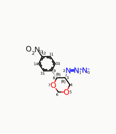 [N-]=[N+]=N[C@@H]1COCO[C@@H]1c1ccc([N+](=O)[O-])cc1